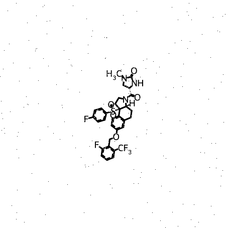 CN1C[C@@H](C(=O)N2CC[C@@]3(S(=O)(=O)c4ccc(F)cc4)c4ccc(OCc5c(F)cccc5C(F)(F)F)cc4CC[C@@H]23)NC1=O